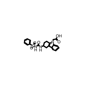 O=C(O)Cn1c2c(c3ccccc31)CC(NC(=O)NS(=O)(=O)c1ccccc1)CC2